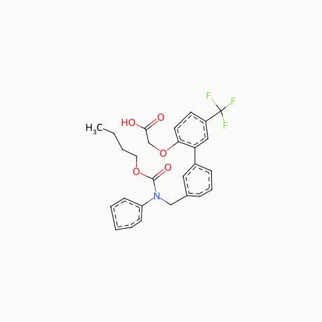 CCCCOC(=O)N(Cc1cccc(-c2cc(C(F)(F)F)ccc2OCC(=O)O)c1)c1ccccc1